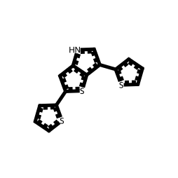 c1csc(-c2cc3[nH]cc(-c4cccs4)c3s2)c1